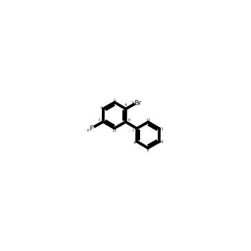 Fc1ccc(Br)c(-c2ccccc2)c1